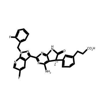 C[C@@]1(c2cccc(CCC(=O)O)c2)C(=O)Nc2nc(-c3nn(Cc4ccccc4F)c4ncc(F)cc34)nc(N)c21